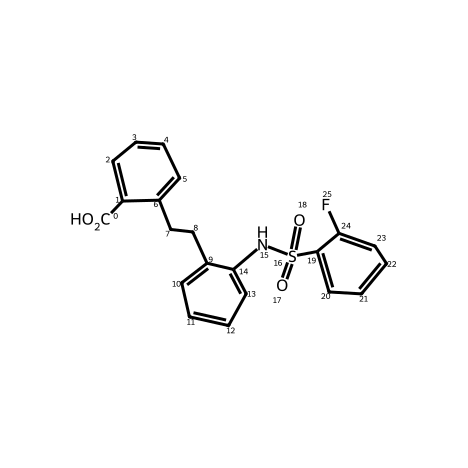 O=C(O)c1ccccc1CCc1ccccc1NS(=O)(=O)c1ccccc1F